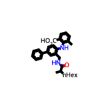 CCCCCCC(C)C(=O)NCc1cc(-c2ccccc2)ccc1Nc1c(C)cccc1C(=O)O